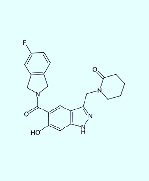 O=C1CCCCN1Cc1n[nH]c2cc(O)c(C(=O)N3Cc4ccc(F)cc4C3)cc12